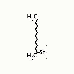 CCCCCCCCCCC[CH](C)[Sn]